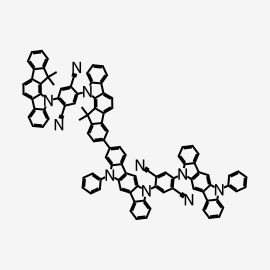 CC1(C)c2ccccc2-c2ccc3c4ccccc4n(-c4cc(C#N)c(-n5c6ccccc6c6ccc7c(c65)C(C)(C)c5ccc(-c6ccc8c9cc%10c(cc9n(-c9ccccc9)c8c6)c6ccccc6n%10-c6cc(C#N)c(-n8c9ccccc9c9cc%10c(cc98)c8ccccc8n%10-c8ccccc8)cc6C#N)cc5-7)cc4C#N)c3c21